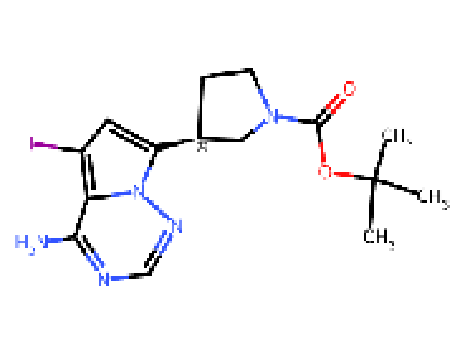 CC(C)(C)OC(=O)N1CC[C@H](c2cc(I)c3c(N)ncnn23)C1